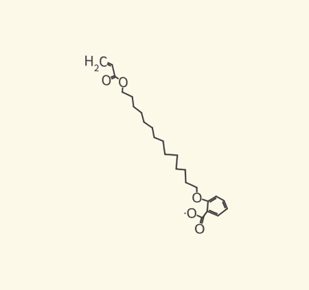 C=CC(=O)OCCCCCCCCCCCCCCOc1ccccc1C([O])=O